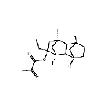 C=C(C)C(=O)O[C@]1(CC)C[C@@H]2C[C@H]1C1C2[C@@H]2CC[C@H]1C2